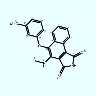 CCNc1c2c(c3ccccc3c1Oc1cccc(OC)c1)C(=O)NC2=O